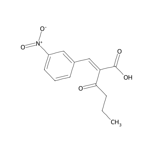 CCCC(=O)/C(=C\c1cccc([N+](=O)[O-])c1)C(=O)O